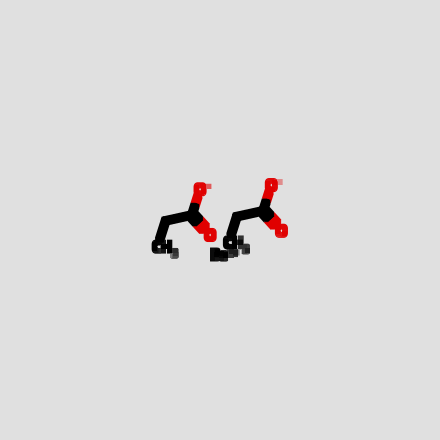 CCC(=O)[O-].CCC(=O)[O-].[Be+2]